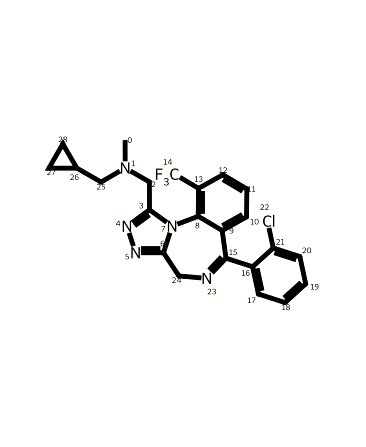 CN(Cc1nnc2n1-c1c(cccc1C(F)(F)F)C(c1ccccc1Cl)=NC2)CC1CC1